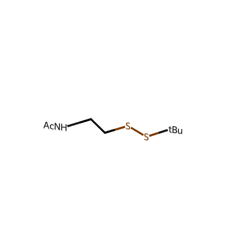 CC(=O)NCCSSC(C)(C)C